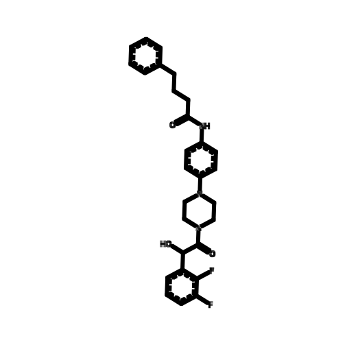 O=C(CCCc1ccccc1)Nc1ccc(N2CCN(C(=O)C(O)c3cccc(F)c3F)CC2)cc1